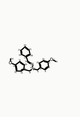 COc1ccc(CN(Cc2ccc(OC)cc2)N=Cc2ccccc2)cc1